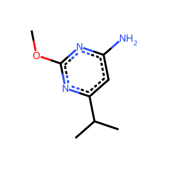 COc1nc(N)cc(C(C)C)n1